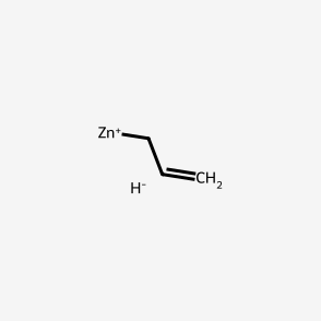 C=C[CH2][Zn+].[H-]